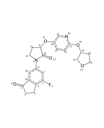 O=C1CCc2c(F)cc(N3CCC(Oc4ccc(OC5CCOC5)nc4)C3=O)cc21